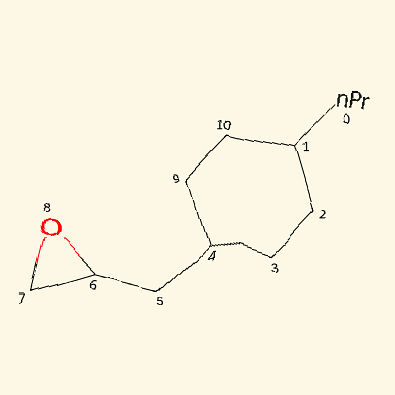 CCCC1CCC(CC2CO2)CC1